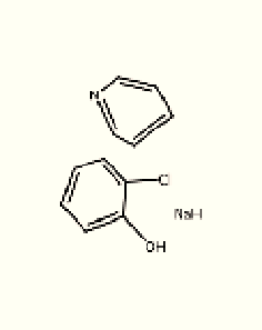 Oc1ccccc1Cl.[NaH].c1ccncc1